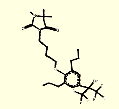 CCCc1cc(C(O)(C(F)(F)F)C(F)(F)F)cc(CCC)c1OCCCCN1C(=O)N(C)C(C)(C)C1=O